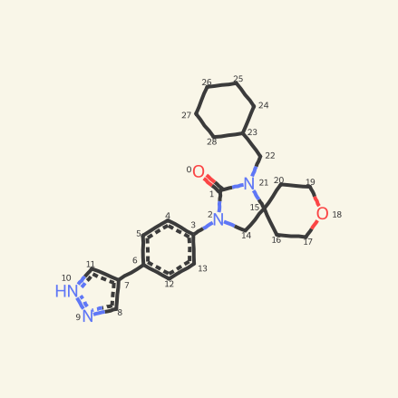 O=C1N(c2ccc(-c3cn[nH]c3)cc2)CC2(CCOCC2)N1CC1CCCCC1